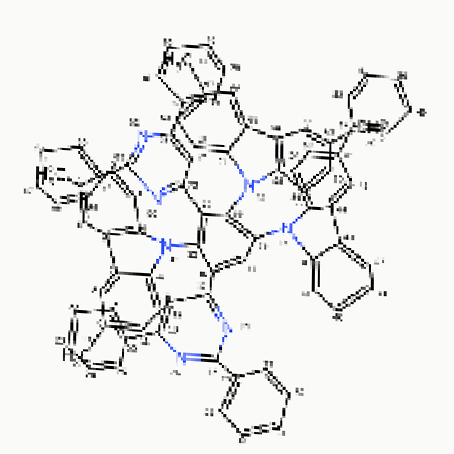 Cc1ccc2c(c1)c1cc(C)ccc1n2-c1c(-c2cc(-c3ccccc3)nc(-c3ccccc3)n2)cc(-n2c3ccccc3c3cc(-c4ccccc4)ccc32)c(-n2c3ccc(C)cc3c3cc(C)ccc32)c1-c1cc(-c2ccccc2)nc(-c2ccccc2)n1